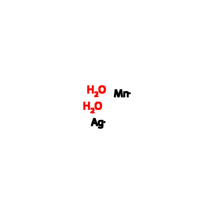 O.O.[Ag].[Mn]